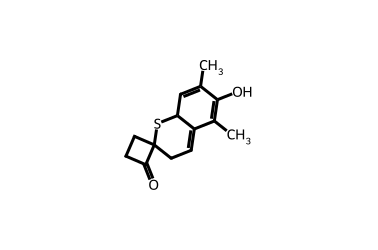 CC1=CC2SC3(CC=C2C(C)=C1O)CCC3=O